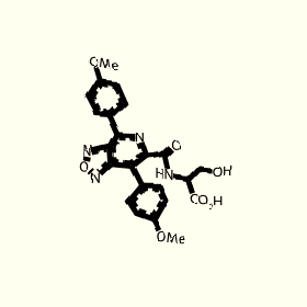 COc1ccc(-c2nc(C(=O)NC(CO)C(=O)O)c(-c3ccc(OC)cc3)c3nonc23)cc1